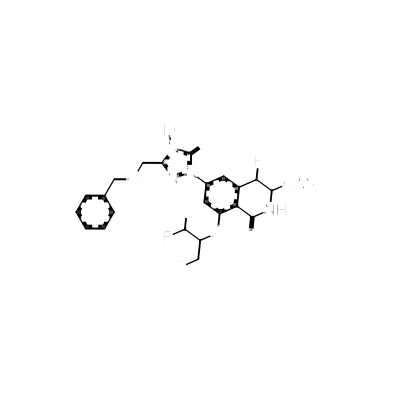 CCn1c(COCc2ccccc2)nn(-c2cc(OC(CF)C(F)F)c3c(c2)C(F)C(OC)NC3=O)c1=O